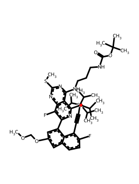 COCOc1cc(-c2nc(OC(C)C)c3c(NCCCNC(=O)OC(C)(C)C)nc(SC)nc3c2F)c2c(C#C[Si](C(C)C)(C(C)C)C(C)C)c(F)ccc2c1